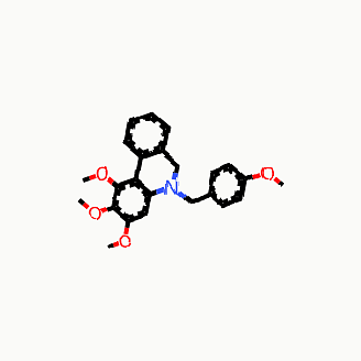 COc1ccc(CN2Cc3ccccc3-c3c2cc(OC)c(OC)c3OC)cc1